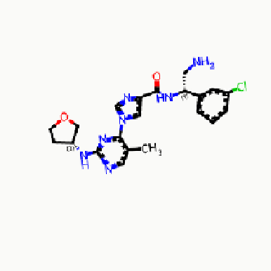 Cc1cnc(N[C@@H]2CCOC2)nc1-n1cnc(C(=O)N[C@H](CN)c2cccc(Cl)c2)c1